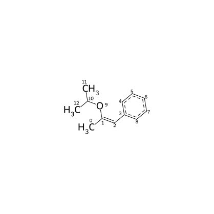 CC(=Cc1ccccc1)OC(C)C